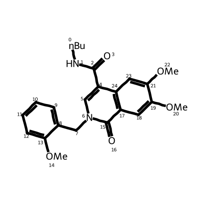 CCCCNC(=O)c1cn(Cc2ccccc2OC)c(=O)c2cc(OC)c(OC)cc12